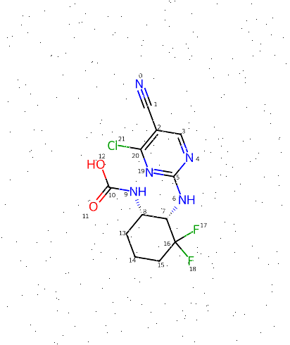 N#Cc1cnc(N[C@H]2[C@@H](NC(=O)O)CCCC2(F)F)nc1Cl